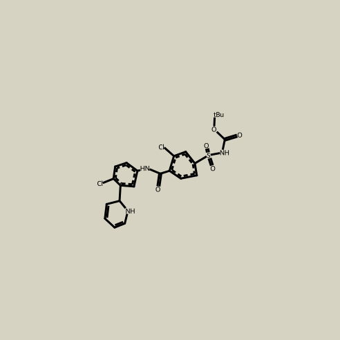 CC(C)(C)OC(=O)NS(=O)(=O)c1ccc(C(=O)Nc2ccc(Cl)c(C3C=CC=CN3)c2)c(Cl)c1